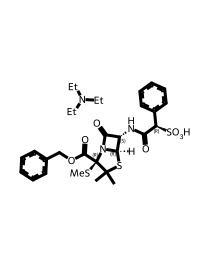 CCN(CC)CC.CS[C@@]1(C(=O)OCc2ccccc2)N2C(=O)[C@H](NC(=O)[C@@H](c3ccccc3)S(=O)(=O)O)[C@H]2SC1(C)C